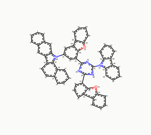 c1ccc2cc3c(cc2c1)c1ccc2ccccc2c1n3-c1cc(-c2nc(-c3cccc4c3oc3ccccc34)nc(-n3c4ccccc4c4ccccc43)n2)c2oc3ccccc3c2c1